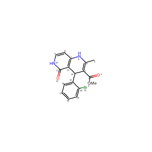 COC(=O)C1=C(C)Nc2cc[nH]c(=O)c2C1c1ccccc1Br